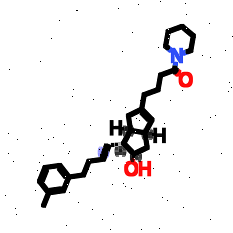 Cc1cccc(CC/C=C/[C@@H]2[C@H]3CC(CCCC(=O)N4CCCCC4)=C[C@H]3C[C@H]2O)c1